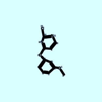 COc1cccc(Oc2ccnc(Cl)n2)c1